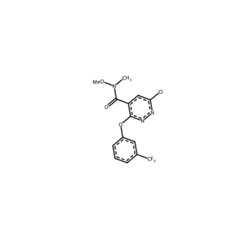 CON(C)C(=O)c1cc(Cl)nnc1Oc1cccc(C(F)(F)F)c1